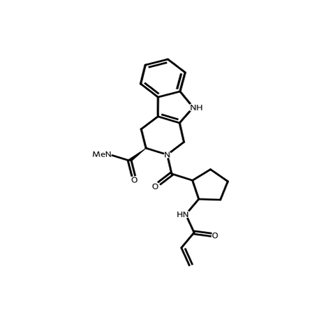 C=CC(=O)NC1CCCC1C(=O)N1Cc2[nH]c3ccccc3c2C[C@@H]1C(=O)NC